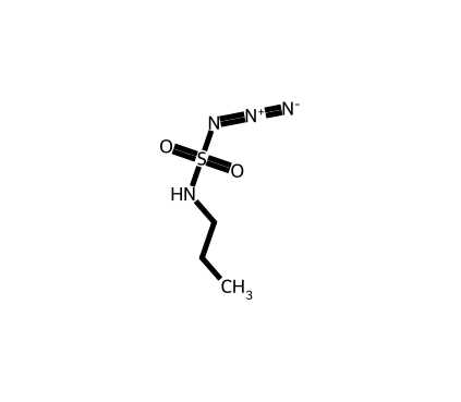 CCCNS(=O)(=O)N=[N+]=[N-]